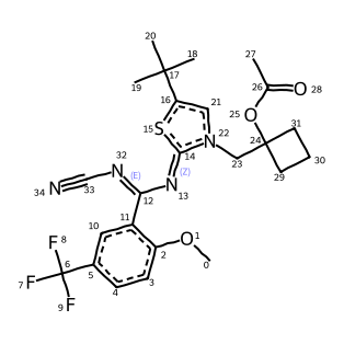 COc1ccc(C(F)(F)F)cc1C(/N=c1\sc(C(C)(C)C)cn1CC1(OC(C)=O)CCC1)=N\C#N